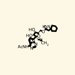 C=NC[C@@]1(c2ccc3c(NC(C)=O)ncnn23)O[C@H](COC(=O)CC2(N)CCCCC2)[C@@H](O)[C@H]1O